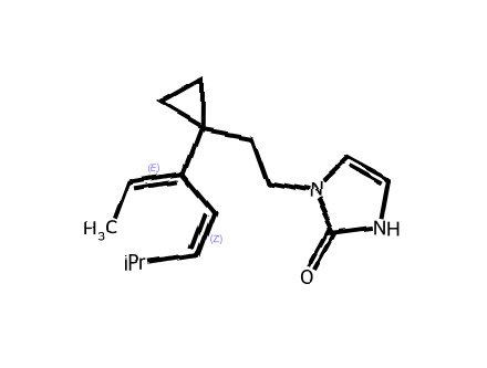 C/C=C(\C=C/C(C)C)C1(CCn2cc[nH]c2=O)CC1